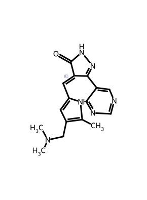 Cc1[nH]c(/C=C2/C(=O)NN=C2c2cncnc2)cc1CN(C)C